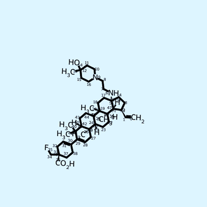 C=C[C@@H]1CC[C@]2(NCCN3CCC(C)(O)CC3)CC[C@]3(C)[C@H](CC[C@@H]4[C@@]5(C)CC=C(C6=CC[C@](CF)(C(=O)O)CC6)C(C)(C)[C@@H]5CC[C@]43C)[C@@H]12